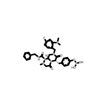 CN(C)c1cc(F)ccc1CN1C[C@H]2N(C(=O)CN(C)N2C(=O)NCc2ccccc2)[C@@H](Cc2ccc(OP(O)O)cc2)C1=O